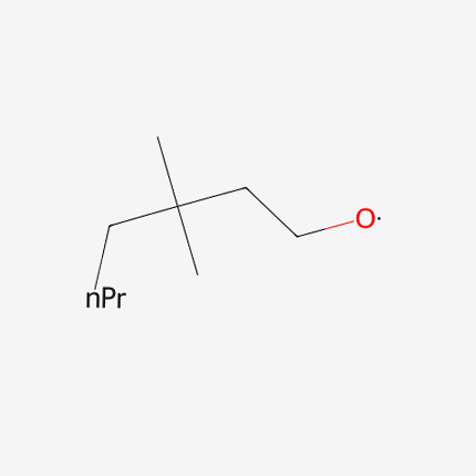 CCCCC(C)(C)CC[O]